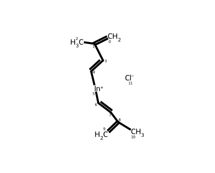 C=C(C)C=[CH][In+][CH]=CC(=C)C.[Cl-]